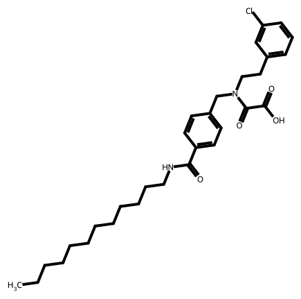 CCCCCCCCCCCCNC(=O)c1ccc(CN(CCc2cccc(Cl)c2)C(=O)C(=O)O)cc1